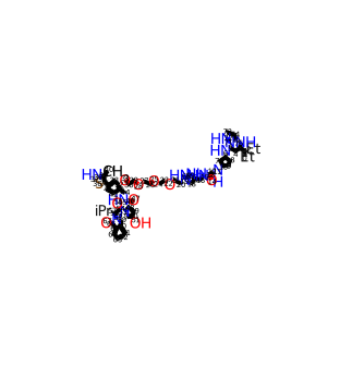 CCC(CC)C1CC(N[C@H]2CC[C@H](NCC(=O)NCC3CN(CCOCCOCCOCCOc4cc(C5SCNC5C)ccc4CNC(=O)[C@@H]4C[C@@H](O)CN4C(=O)[C@H](C(C)C)N4Cc5ccccc5C4=O)NN3)C2)N2NCCC2N1